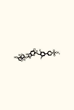 CS(=O)(=O)N1CC=C(c2cc(F)c(CNc3nc4nc(O[C@@H]5CO[C@H]6[C@@H]5OC[C@H]6O)[nH]c4cc3Cl)c(F)c2)CC1